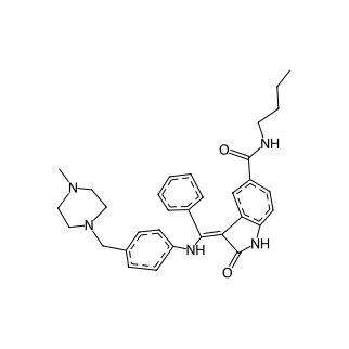 CCCCNC(=O)c1ccc2c(c1)/C(=C(/Nc1ccc(CN3CCN(C)CC3)cc1)c1ccccc1)C(=O)N2